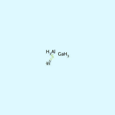 [AlH3].[GaH3].[S]=[In]